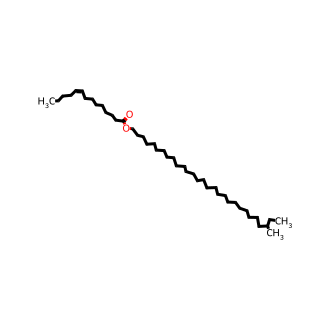 CCCC/C=C\CCCCCCCC(=O)OCCCCCCCCCCCCCCCCCCCCCCCCCCC(C)CC